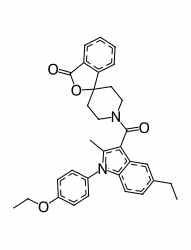 CCOc1ccc(-n2c(C)c(C(=O)N3CCC4(CC3)OC(=O)c3ccccc34)c3cc(CC)ccc32)cc1